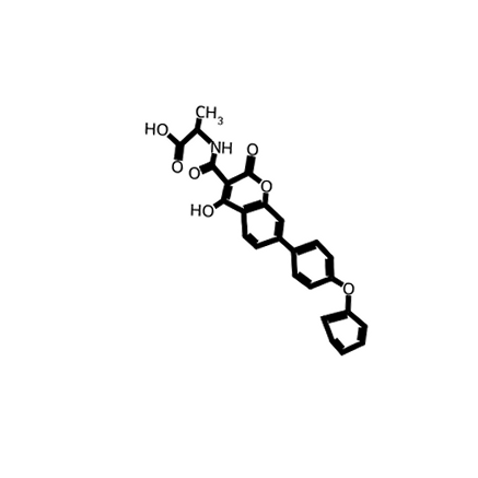 CC(NC(=O)c1c(O)c2ccc(-c3ccc(Oc4ccccc4)cc3)cc2oc1=O)C(=O)O